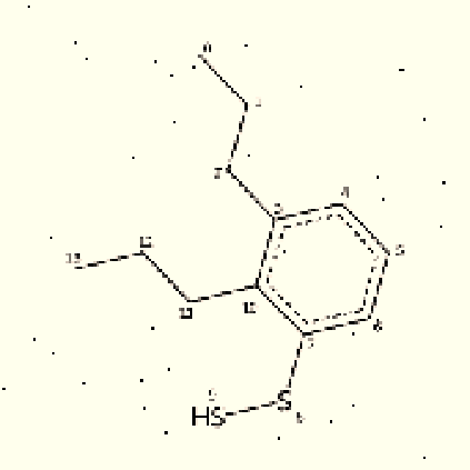 CCCc1cccc(SS)c1CCC